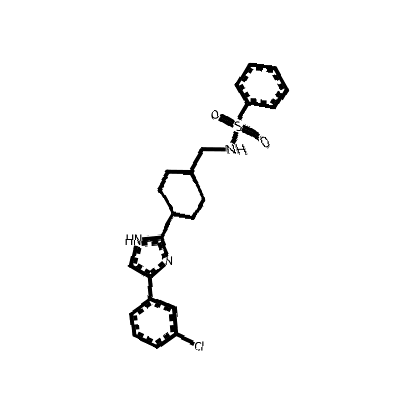 O=S(=O)(NCC1CCC(c2nc(-c3cccc(Cl)c3)c[nH]2)CC1)c1ccccc1